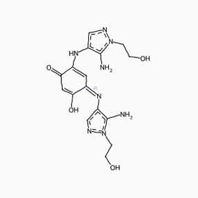 Nc1c(/N=C2/C=C(Nc3cnn(CCO)c3N)C(=O)C=C2O)cnn1CCO